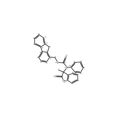 CC(C(=O)O)(c1ccccc1)N(C(=O)OCc1cccc2c1Cc1ccccc1-2)c1ccccc1